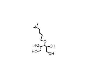 CN(C)CCCCOC(C(O)CO)C(O)CO